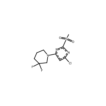 CS(=O)(=O)c1nc(Cl)cc(N2CCCC(F)(F)C2)n1